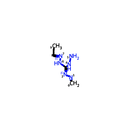 C=N/N=C(\NN)N/N=C/C